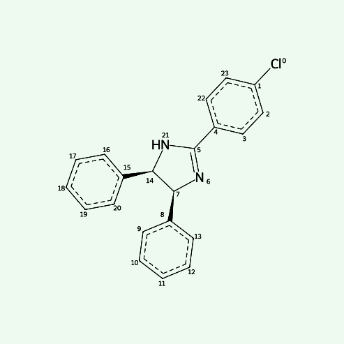 Clc1ccc(C2=N[C@@H](c3ccccc3)[C@@H](c3ccccc3)N2)cc1